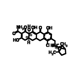 CC1(C)C2CCC1(C)[C@@H](NCc1cc(O)c3c(c1Cl)CC1C[C@H]4CC(O)=C(C(N)=O)C(=O)[C@@]4(O)C(O)=C1C3=O)C2